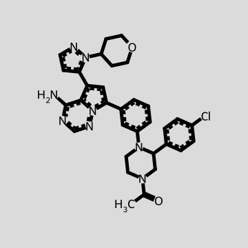 CC(=O)N1CCN(c2cccc(-c3cc(-c4ccnn4C4CCOCC4)c4c(N)ncnn34)c2)C(c2ccc(Cl)cc2)C1